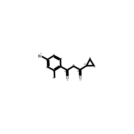 Cc1cc(Br)ccc1C(=O)CC(=O)C1CC1